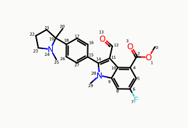 COC(=O)c1cc(F)cc2c1c(C=O)c(-c1ccc(C3(C)CCCN3C)cc1)n2C